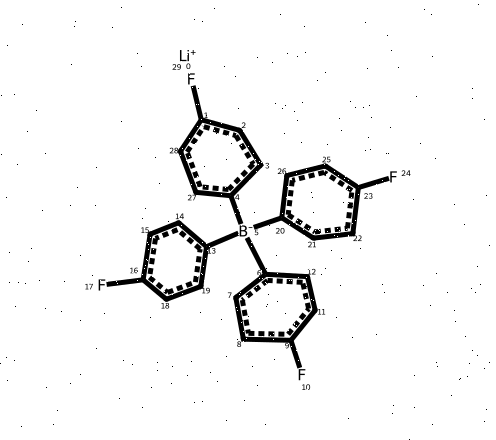 Fc1ccc([B-](c2ccc(F)cc2)(c2ccc(F)cc2)c2ccc(F)cc2)cc1.[Li+]